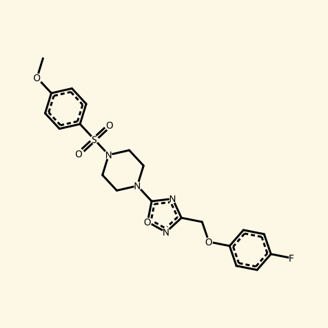 COc1ccc(S(=O)(=O)N2CCN(c3nc(COc4ccc(F)cc4)no3)CC2)cc1